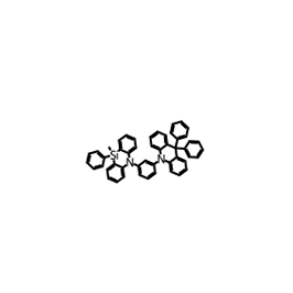 C[Si]1(c2ccccc2)c2ccccc2N(c2cccc(N3c4ccccc4C(c4ccccc4)(c4ccccc4)c4ccccc43)c2)c2ccccc21